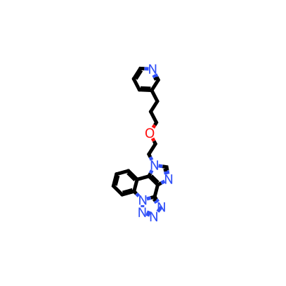 c1cncc(CCCOCCn2cnc3c2c2ccccc2n2nnnc32)c1